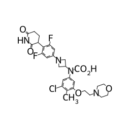 Cc1c(Cl)cc(N(C(=O)O)C2CN(c3cc(F)c(C4CCC(=O)NC4=O)c(F)c3)C2)cc1OCCN1CCOCC1